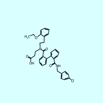 CCOc1ccccc1CCN(CCC(=O)O)C(=O)c1ccccc1-c1ccccc1C(=O)NCc1ccc(Cl)cc1